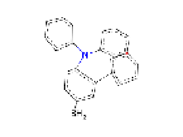 Bc1ccc(N(c2ccccc2)c2ccccc2)c(-c2ccccc2)c1